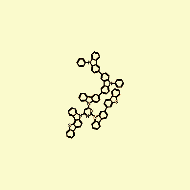 c1ccc(-n2c3ccccc3c3cc(-c4ccc5c(c4)c4cc(-c6ccc7c(c6)c6ccccc6n7-c6cc(-n7c8ccccc8c8c9sc%10ccccc%10c9ccc87)nc(-n7c8ccccc8c8ccc(-c9ccc%10c(c9)sc9ccccc9%10)cc87)n6)ccc4n5-c4ccccc4)ccc32)cc1